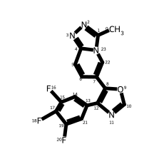 Cc1nnc2ccc(-c3ocnc3-c3cc(F)c(F)c(F)c3)cn12